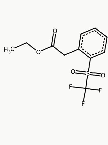 CCOC(=O)Cc1ccccc1S(=O)(=O)C(F)(F)F